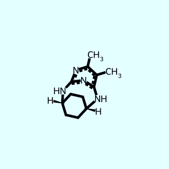 Cc1nc2nc(c1C)N[C@H]1CC[C@H](CC1)N2